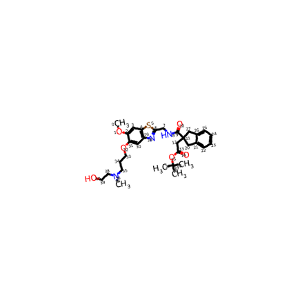 COc1cc2sc(CNC(=O)C3(CC(=O)OC(C)(C)C)Cc4ccccc4C3)nc2cc1OCCCN(C)CCO